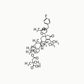 CC(=O)O[C@@H](CNCc1ccc(F)cc1)[C@@]12CC[C@]3(C)[C@H](CC[C@@H]4[C@@]5(C)CC[C@H](OC(=O)CC(C)(C)C(=O)O)C(C)(C)[C@@H]5CC[C@]43C)C1=C(C(C)C)C(=O)C2